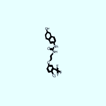 O=C(NCCOc1ccc(Cl)c(C(F)(F)F)c1)Nc1ccc2c(c1)CCC(O)C2